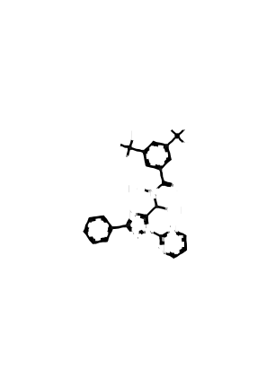 CC(c1nc(-c2ccccc2)nn1-c1ncccn1)N(C)C(=O)c1cc(C(F)(F)F)cc(C(F)(F)F)c1